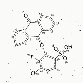 O=C1c2ccccc2C(=O)c2ccccc21.O=S(=O)(O)c1ccc(Cl)c(F)c1